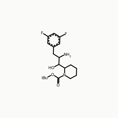 CC(C)(C)OC(=O)N1CCCCC1C(O)C(N)Cc1cc(F)cc(F)c1